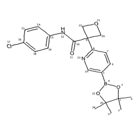 CC1(C)OB(c2ccc(C3(C(=O)Nc4ccc(Cl)cc4)COC3)nc2)OC1(C)C